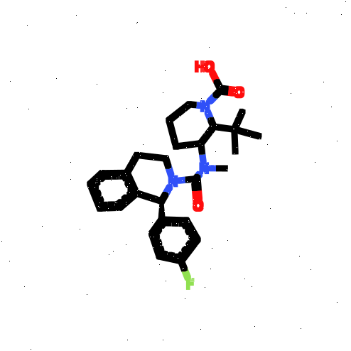 CN(C(=O)N1CCc2ccccc2[C@@H]1c1ccc(F)cc1)C1CCCN(C(=O)O)C1C(C)(C)C